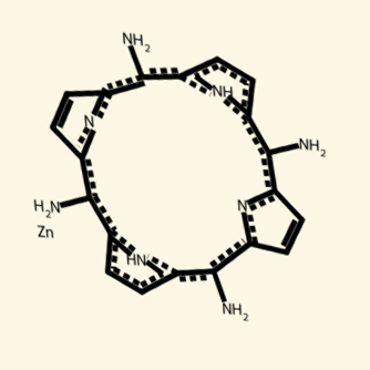 Nc1c2nc(c(N)c3ccc([nH]3)c(N)c3nc(c(N)c4ccc1[nH]4)C=C3)C=C2.[Zn]